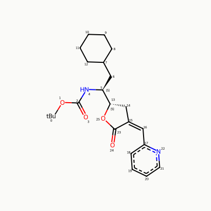 CC(C)(C)OC(=O)N[C@@H](CC1CCCCC1)[C@@H]1CC(=Cc2ccccn2)C(=O)O1